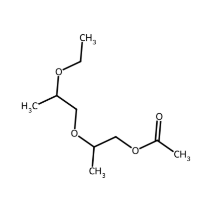 CCOC(C)COC(C)COC(C)=O